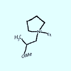 CC[N+]1(CC(C)OC)CCCC1